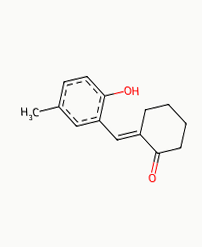 Cc1ccc(O)c(/C=C2\CCCCC2=O)c1